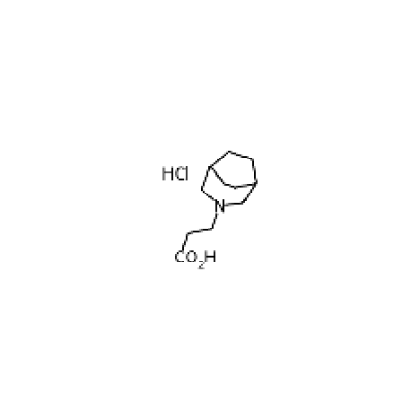 Cl.O=C(O)CCN1CC2CCC(CC2)C1